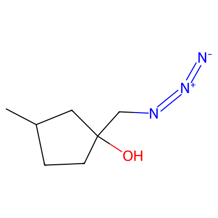 CC1CCC(O)(CN=[N+]=[N-])C1